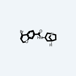 O=C(N[C@@H]1C[C@@H]2CCN(C2)C1)c1ccc2c(c1)OCC=C2Br